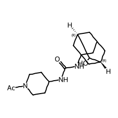 CC(=O)N1CCC(NC(=O)NC23CC4C[C@H](C2)C(O)[C@H](C4)C3)CC1